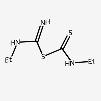 CCNC(=N)SC(=S)NCC